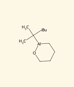 CCC(C)[C](C)(C)[Al]1[CH2]CCC[O]1